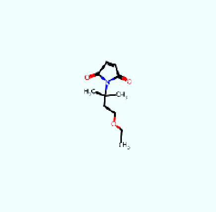 CCOCCC(C)(C)N1C(=O)C=CC1=O